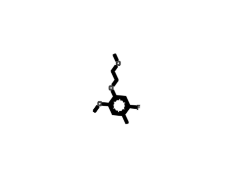 COCCOc1cc(F)c(C)cc1OC